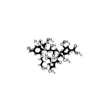 CCn1nc(C)cc1C(=O)/N=c1\n(C)c2cc(C(N)=O)cc(OC)c2n1CC(O)C(O)Cn1/c(=N/C)n(C)c2cc(C=O)cc(OCCCO)c21